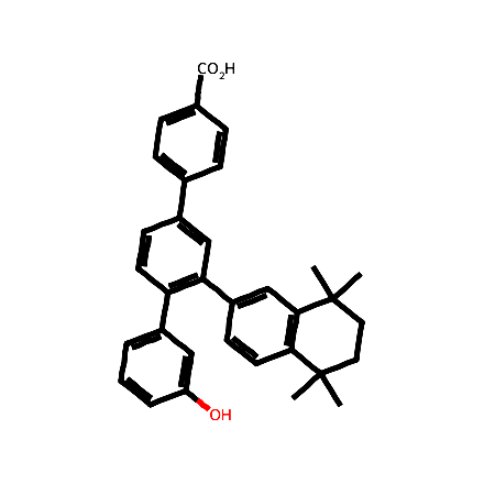 CC1(C)CCC(C)(C)c2cc(-c3cc(-c4ccc(C(=O)O)cc4)ccc3-c3cccc(O)c3)ccc21